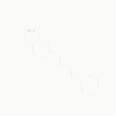 CC(C)(C)c1nc2c(s1)CCN(CCCCN1CCOCC1)C2